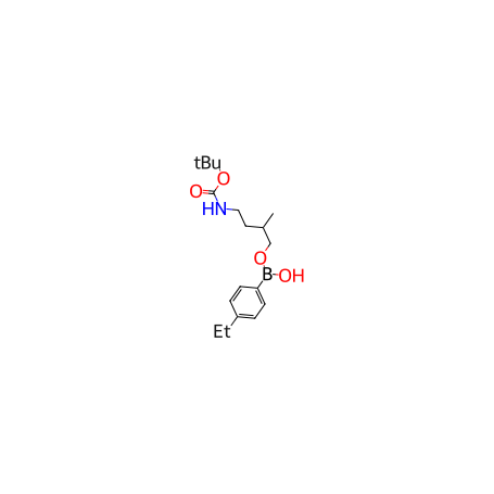 CCc1ccc(B(O)OCC(C)CCNC(=O)OC(C)(C)C)cc1